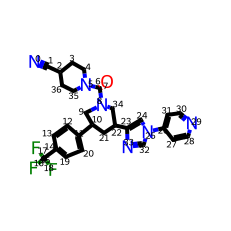 N#CC1CCN(C(=O)N2CC(c3ccc(C(F)(F)F)cc3)CC(c3cn(-c4ccncc4)cn3)C2)CC1